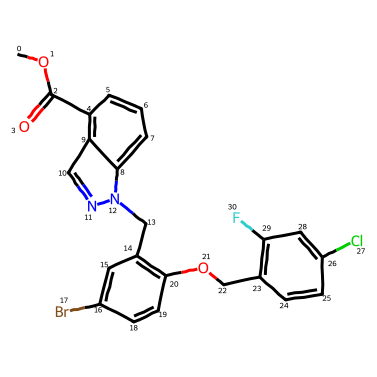 COC(=O)c1cccc2c1cnn2Cc1cc(Br)ccc1OCc1ccc(Cl)cc1F